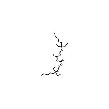 CCCCCC(CC)(CC)OOOC(=O)OC(=O)OOOC(CC)(CC)CCCCC